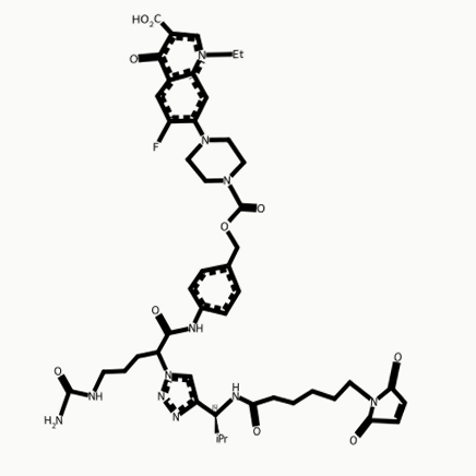 CCn1cc(C(=O)O)c(=O)c2cc(F)c(N3CCN(C(=O)OCc4ccc(NC(=O)C(CCCNC(N)=O)n5cc([C@@H](NC(=O)CCCCCN6C(=O)C=CC6=O)C(C)C)nn5)cc4)CC3)cc21